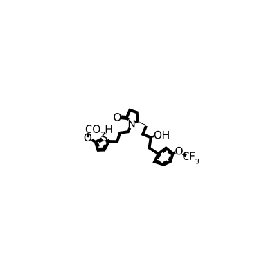 O=C(O)Oc1ccc(CCCN2C(=O)CC[C@@H]2CC[C@@H](O)Cc2cccc(OC(F)(F)F)c2)s1